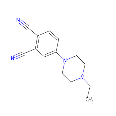 CCN1CCN(c2ccc(C#N)c(C#N)c2)CC1